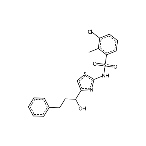 Cc1c(Cl)cccc1S(=O)(=O)Nc1nc(C(O)CCc2ccccc2)cs1